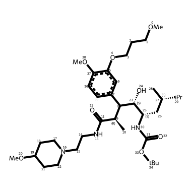 COCCCOc1cc(C([C@@H](C)C(=O)NCCN2CCC(OC)CC2)[C@H](O)[C@H](C[C@H](C)C(C)C)NC(=O)OC(C)(C)C)ccc1OC